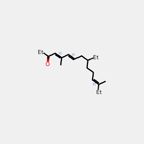 CCC(=O)/C=C(C)/C=C/CC(CC)CC/C=C(\C)CC